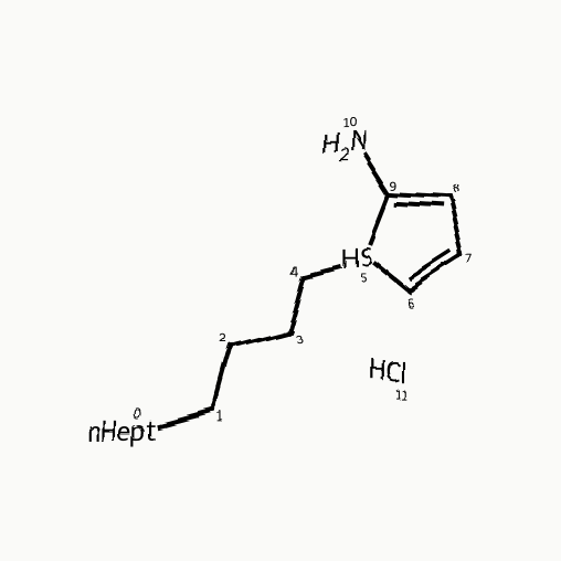 CCCCCCCCCCC[SH]1C=CC=C1N.Cl